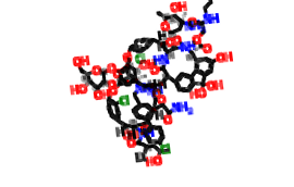 CC[C@H](CC(C)O)C(=O)N[C@H]1C(=O)C[C@@H](CC(N)=O)C(=O)N[C@H]2C(=O)C[C@H]3C(=O)N[C@H](C(=O)N[C@H](C(=O)OCC(=O)NCCCN)c4cc(O)cc5c4-c4cc3ccc4C5(O)O)[C@H](O[C@H]3C[C@](C)(N)[C@@H](O)[C@H](C)O3)c3ccc(c(Cl)c3)Oc3cc2cc(c3O[C@@H]2O[C@H](CO)[C@@H](O)[C@H](O)[C@H]2O[C@H]2C[C@](C)(NCc3ccc(-c4ccc(Cl)cc4)cc3)[C@@H](O)[C@H](C)O2)Oc2ccc(cc2Cl)[C@H]1O